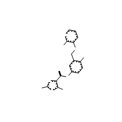 Cc1nc(C)c(C(=O)Nc2ccc(F)c(CNc3cccnc3N)c2)s1